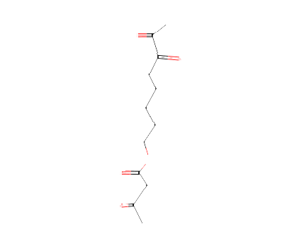 CC(=O)CC(=O)OCCCCCC(=O)C(C)=O